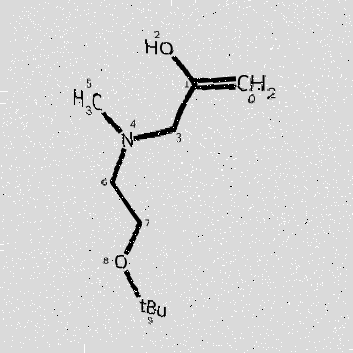 C=C(O)CN(C)CCOC(C)(C)C